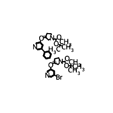 CC(C)(C)OC(=O)N1CC[C@H](Oc2cncc(-c3ccccc3)c2)C1.CC(C)(C)OC(=O)N1CC[C@H](Oc2cncc(Br)c2)C1